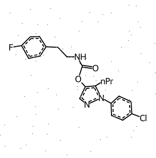 CCCc1c(OC(=O)NCCc2ccc(F)cc2)cnn1-c1ccc(Cl)cc1